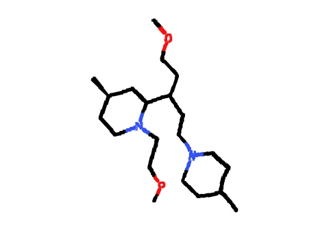 COCCC(CCN1CCC(C)CC1)C1C[C@H](C)CCN1CCOC